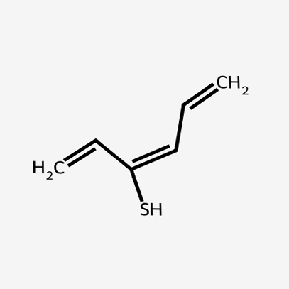 C=C/C=C(/S)C=C